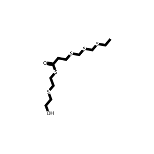 CCSCSCSCCC(=O)SCCSCCO